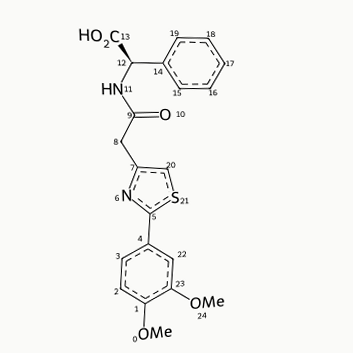 COc1ccc(-c2nc(CC(=O)N[C@@H](C(=O)O)c3ccccc3)cs2)cc1OC